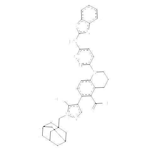 Cc1c(-c2ccc3c(c2C(=O)O)CCCN3c2ccc(Nc3nc4ccccc4s3)nn2)cnn1CC12CC3CC(CC(C3)C1)C2